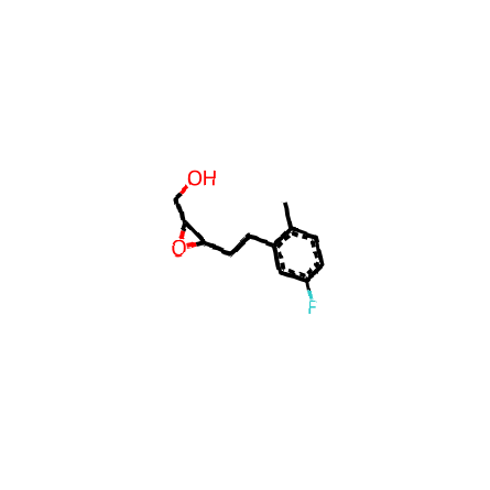 Cc1ccc(F)cc1CCC1OC1CO